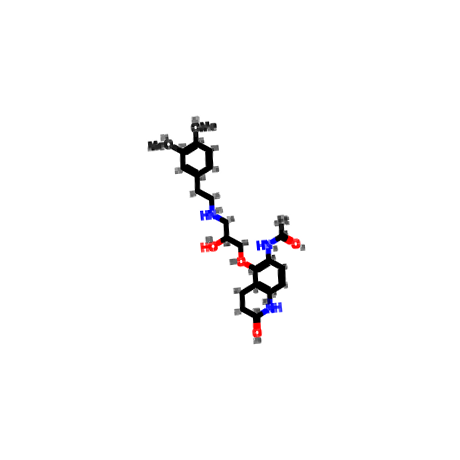 CCC(=O)Nc1ccc2c(c1OCC(O)CNCCc1ccc(OC)c(OC)c1)CCC(=O)N2